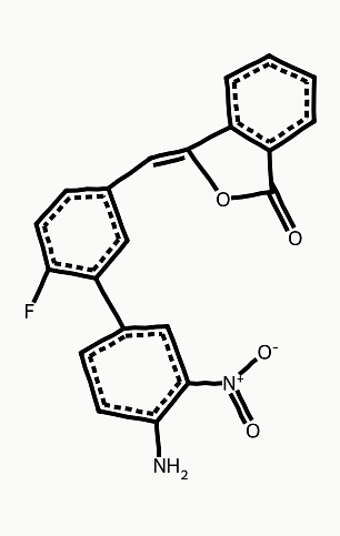 Nc1ccc(-c2cc(/C=C3\OC(=O)c4ccccc43)ccc2F)cc1[N+](=O)[O-]